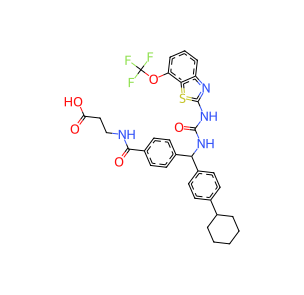 O=C(O)CCNC(=O)c1ccc(C(NC(=O)Nc2nc3cccc(OC(F)(F)F)c3s2)c2ccc(C3CCCCC3)cc2)cc1